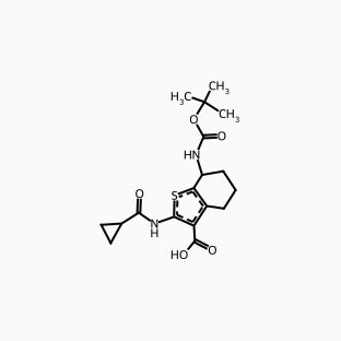 CC(C)(C)OC(=O)NC1CCCc2c1sc(NC(=O)C1CC1)c2C(=O)O